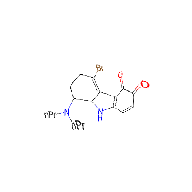 CCCN(CCC)C1CCC(Br)=C2C3=C(C=CC(=O)C3=O)NC21